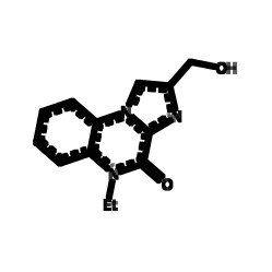 CCn1c(=O)c2nc(CO)cn2c2ccccc21